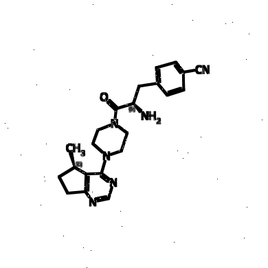 C[C@@H]1CCc2ncnc(N3CCN(C(=O)[C@H](N)Cc4ccc(C#N)cc4)CC3)c21